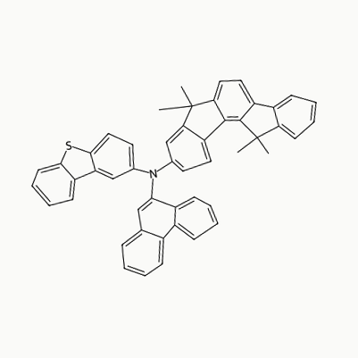 CC1(C)c2cc(N(c3ccc4sc5ccccc5c4c3)c3cc4ccccc4c4ccccc34)ccc2-c2c1ccc1c2C(C)(C)c2ccccc2-1